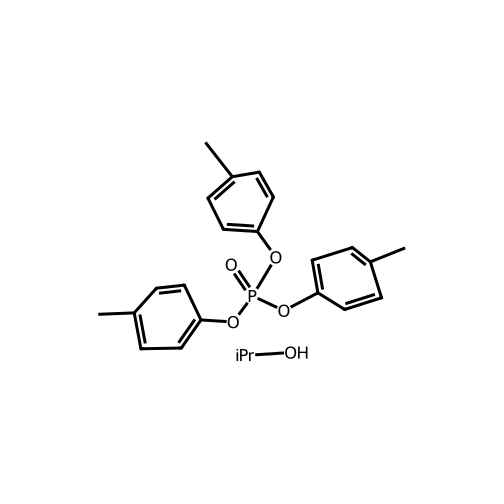 CC(C)O.Cc1ccc(OP(=O)(Oc2ccc(C)cc2)Oc2ccc(C)cc2)cc1